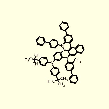 Cc1cc(-c2ccccc2)ccc1N1c2cc(N(c3ccc(C(C)(C)C)cc3)c3ccc(C(C)(C)C)cc3)ccc2B2c3c1cc1ccccc1c3-c1ccc(-c3ccccc3)cc1N2c1ccc(-c2ccccc2)cc1